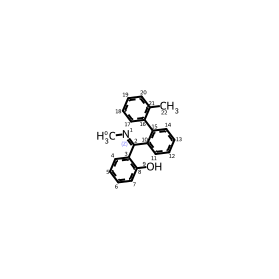 C/N=C(\c1ccccc1O)c1ccccc1-c1ccccc1C